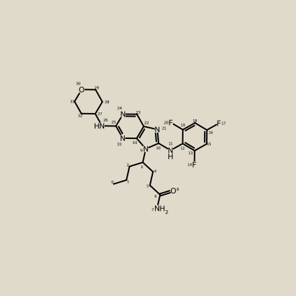 CCCC(CCC(N)=O)n1c(Nc2c(F)cc(F)cc2F)nc2cnc(NC3CCOCC3)nc21